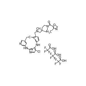 Cc1ncoc1C(=O)N1CCC(CN(C)Cc2ccc3cc2CCc2cncc(c2)Nc2ncc(Cl)c(n2)N3)CC1.O=C(O)C(F)(F)F.O=C(O)C(F)(F)F.O=C(O)C(F)(F)F